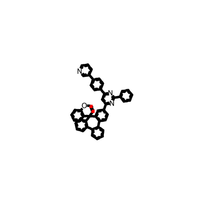 c1ccc(-c2nc(-c3ccc(-c4cccnc4)cc3)cc(-c3ccc4c(c3)C3(c5ccccc5Oc5ccccc53)c3ccccc3-c3ccccc3-4)n2)cc1